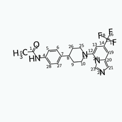 CC(=O)Nc1ccc(C2CCN(c3cc(C(F)(F)F)cc4cncn34)CC2)cc1